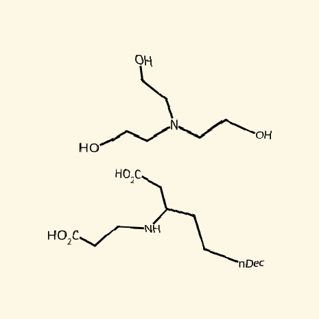 CCCCCCCCCCCCC(CC(=O)O)NCCC(=O)O.OCCN(CCO)CCO